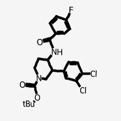 CC(C)(C)OC(=O)N1CCC(NC(=O)c2ccc(F)cc2)C(c2ccc(Cl)c(Cl)c2)C1